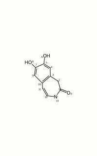 O=C1Cc2cc(O)c(O)cc2C=C[N]1